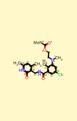 CNC(=O)OCCN(C)c1cc(Cl)cc(C(=O)NCc2c(C)cc(C)[nH]c2=O)c1C